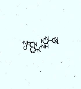 CNC(=O)c1ccnc2c([C@H](C)CNc3cc(-c4cnn(C)c4)ncn3)cccc12